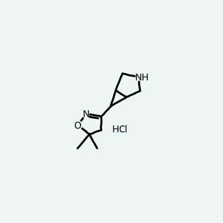 CC1(C)CC(C2C3CNCC32)=NO1.Cl